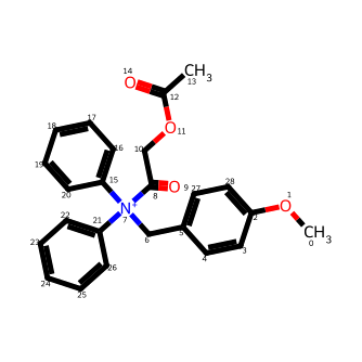 COc1ccc(C[N+](C(=O)COC(C)=O)(c2ccccc2)c2ccccc2)cc1